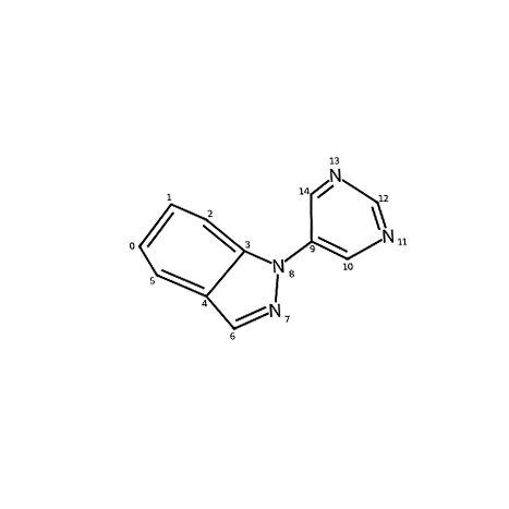 c1ccc2c(c1)cnn2-c1cncnc1